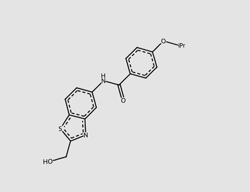 CC(C)Oc1ccc(C(=O)Nc2ccc3sc(CO)nc3c2)cc1